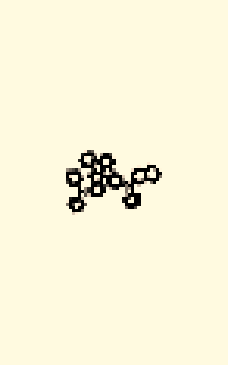 c1ccc(N(c2ccc3c(c2)-c2ccccc2C32c3cccc(N(c4ccccc4)c4ccccc4)c3-c3oc4ccccc4c32)c2ccc3ccccc3c2)cc1